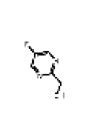 O[CH]c1ncc(F)cn1